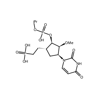 CO[C@@H]1[C@H](OP(=O)(O)OC(C)C)[C@@H](CCP(=O)(O)O)C[C@@H]1n1ccc(=O)[nH]c1=O